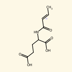 C/C=C/C(=O)NC(CCC(=O)O)C(=O)O